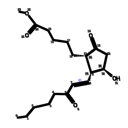 CCCCCC(=O)/C=C/[C@H]1[C@H](O)CC(=O)[C@H]1CCCCC(=O)OC